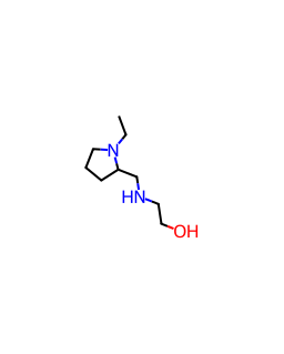 CCN1CCCC1CNCCO